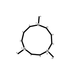 CN1CCCN(C)CCN(C)CCC1